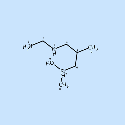 CC(CNCN)C[SiH](C)O